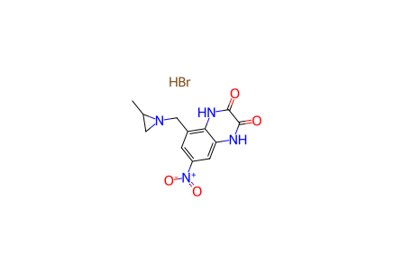 Br.CC1CN1Cc1cc([N+](=O)[O-])cc2[nH]c(=O)c(=O)[nH]c12